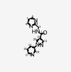 O=C(NCc1ncccn1)c1cnn(-c2cccnc2)c1